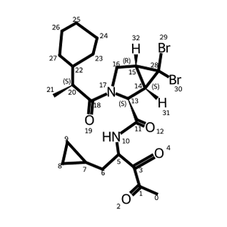 CC(=O)C(=O)C(CC1CC1)NC(=O)[C@@H]1[C@@H]2[C@H](CN1C(=O)[C@@H](C)C1CCCCC1)C2(Br)Br